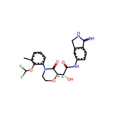 Cc1cccc(N2CCO[C@H]([C@@H](O)C(=O)Nc3ccc4c(c3)CNC4=N)C2=O)c1OC(F)F